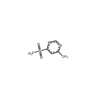 Cc1cc(S(C)(=O)=O)ncn1